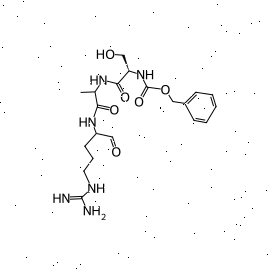 CC(NC(=O)[C@@H](CO)NC(=O)OCc1ccccc1)C(=O)NC(C=O)CCCNC(=N)N